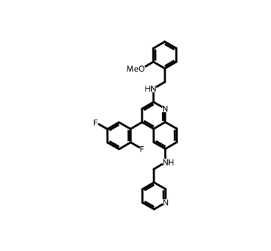 COc1ccccc1CNc1cc(-c2cc(F)ccc2F)c2cc(NCc3cccnc3)ccc2n1